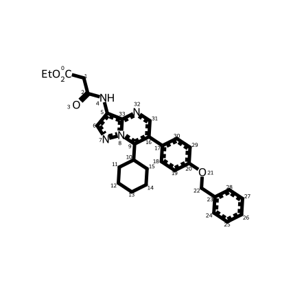 CCOC(=O)CC(=O)Nc1cnn2c(C3CCCCC3)c(-c3ccc(OCc4ccccc4)cc3)cnc12